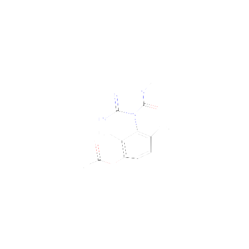 CCNC(=O)N(C(=N)N)c1c(C)ccc(OC(=O)C(F)(F)F)c1C